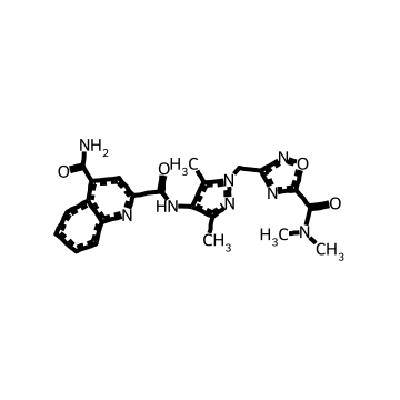 Cc1nn(Cc2noc(C(=O)N(C)C)n2)c(C)c1NC(=O)c1cc(C(N)=O)c2ccccc2n1